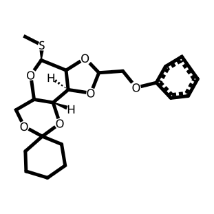 CS[C@@H]1OC2COC3(CCCCC3)O[C@H]2[C@@H]2OC(COc3ccccc3)OC21